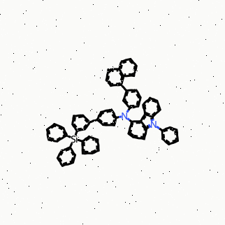 c1ccc(-n2c3ccccc3c3c(N(c4ccc(-c5cccc([Si](c6ccccc6)(c6ccccc6)c6ccccc6)c5)cc4)c4cccc(-c5cccc6ccccc56)c4)cccc32)cc1